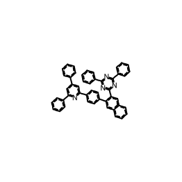 c1ccc(-c2cc(-c3ccccc3)nc(-c3ccc(-c4cc5ccccc5cc4-c4nc(-c5ccccc5)nc(-c5ccccc5)n4)cc3)c2)cc1